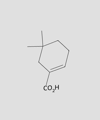 CC1(C)CCC=C(C(=O)O)C1